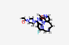 C=CC(=O)N1CCN(c2nc(=O)n3c4nc(c(F)cc24)C/C=C/CCc2ccnc(C(C)C)c2-3)[C@@H](C)C1